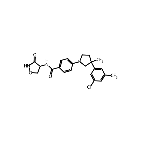 O=C(NC1CONC1=O)c1ccc(N2CCC(c3cc(Cl)cc(C(F)(F)F)c3)(C(F)(F)F)C2)cc1